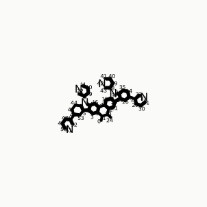 CC1c2cc3c4c(n(-c5cccnc5)c3cc2-c2cc3c(cc2C1C)c1cc(-c2cccnc2)ccc1n3-c1cccnc1)CCC(c1cccnc1)=C4